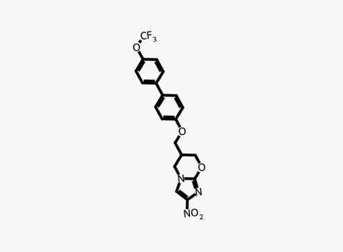 O=[N+]([O-])c1cn2c(n1)OCC(COc1ccc(-c3ccc(OC(F)(F)F)cc3)cc1)C2